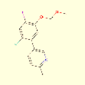 COCOc1cc(-c2ccc(C)nc2)c(F)cc1I